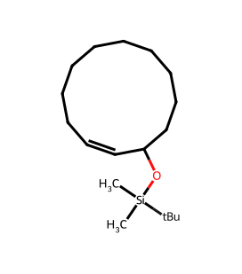 CC(C)(C)[Si](C)(C)OC1C=CCCCCCCCCC1